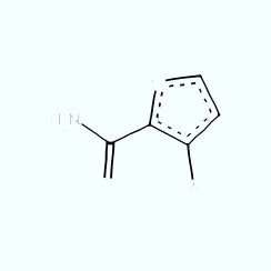 CC(=O)c1ccoc1C(N)=O